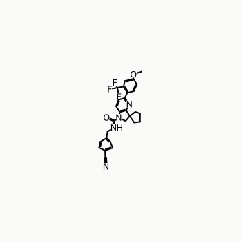 COc1ccc(-c2ccc3c(n2)C2(CCCC2)CN3C(=O)NCc2ccc(C#N)cc2)c(C(F)(F)F)c1